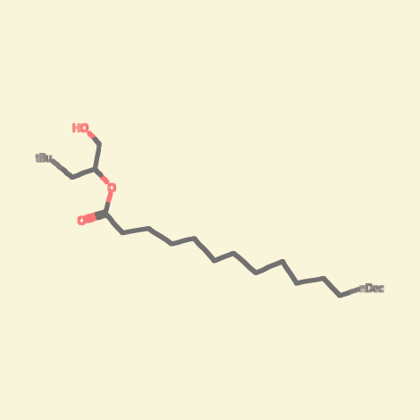 CCCCCCCCCCCCCCCCCCCCCC(=O)OC(CO)CC(C)(C)C